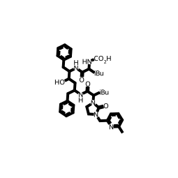 CCC(C)C(NC(=O)O)C(=O)NC(Cc1ccccc1)C(O)CC(Cc1ccccc1)NC(=O)C(C(C)CC)N1CCN(Cc2cccc(C)n2)C1=O